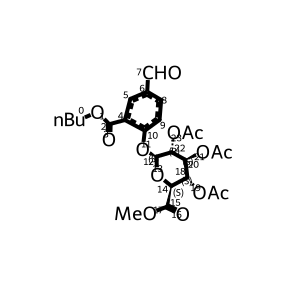 CCCCOC(=O)c1cc(C=O)ccc1O[C@@H]1O[C@H](C(=O)OC)[C@@H](OC(C)=O)[C@H](OC(C)=O)[C@H]1OC(C)=O